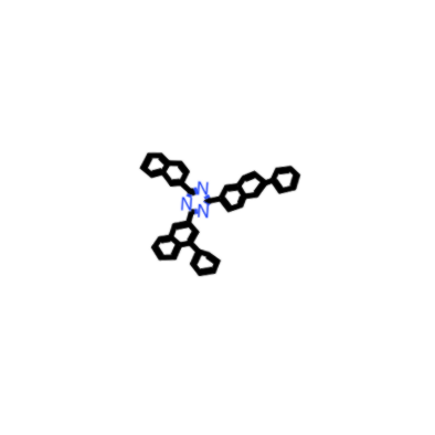 c1ccc(-c2ccc3cc(-c4nc(-c5ccc6ccccc6c5)nc(-c5cc(-c6ccccc6)c6ccccc6c5)n4)ccc3c2)cc1